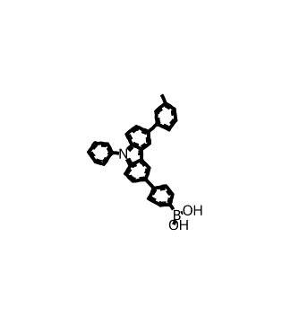 Cc1cccc(-c2ccc3c(c2)c2cc(-c4ccc(B(O)O)cc4)ccc2n3-c2ccccc2)c1